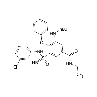 CCCCNc1cc(C(=O)NCC(F)(F)F)cc(S(=N)(=O)Nc2cccc(Cl)c2)c1Oc1ccccc1